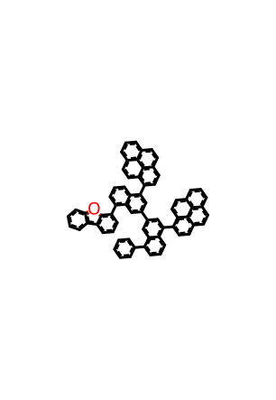 c1ccc(-c2cccc3c(-c4ccc5ccc6cccc7ccc4c5c67)cc(-c4cc(-c5ccc6ccc7cccc8ccc5c6c78)c5cccc(-c6cccc7c6oc6ccccc67)c5c4)cc23)cc1